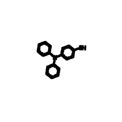 Sc1ccc(N(c2ccccc2)c2ccccc2)cc1